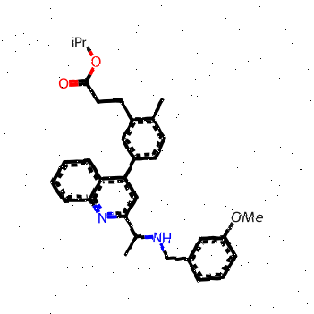 COc1cccc(CNC(C)c2cc(-c3ccc(C)c(CCC(=O)OC(C)C)c3)c3ccccc3n2)c1